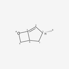 C[C@H]1C=C2OCC2C1